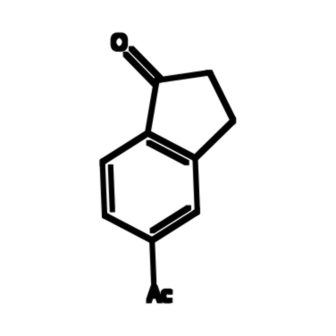 CC(=O)c1ccc2c(c1)CCC2=O